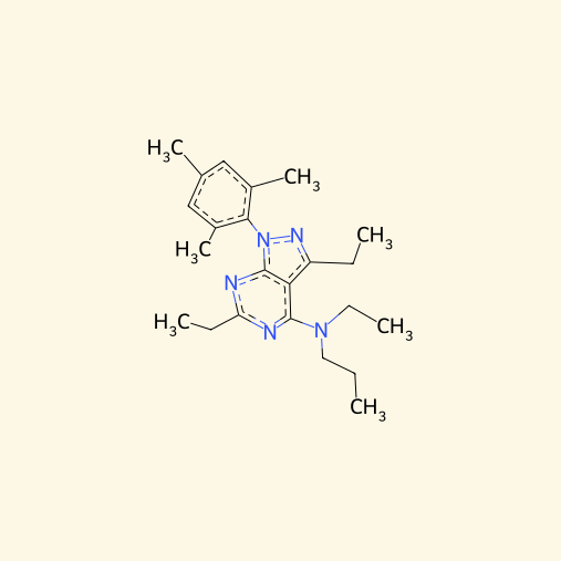 CCCN(CC)c1nc(CC)nc2c1c(CC)nn2-c1c(C)cc(C)cc1C